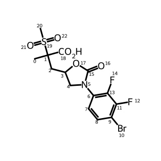 CC(CC1CN(c2ccc(Br)c(F)c2F)C(=O)O1)(C(=O)O)S(C)(=O)=O